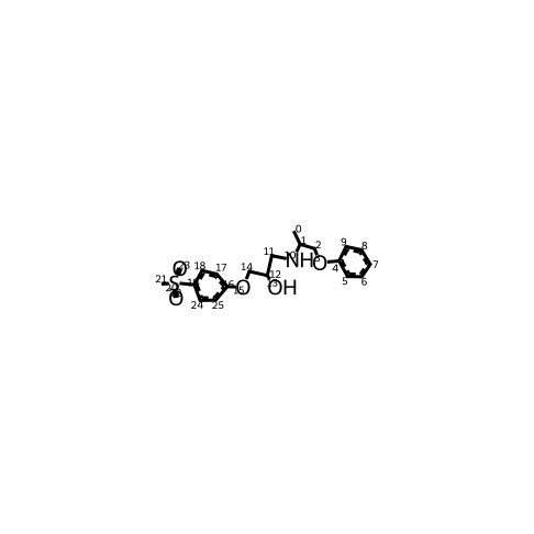 CC(COc1ccccc1)NCC(O)COc1ccc(S(C)(=O)=O)cc1